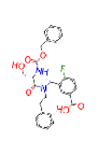 O=C(N[C@@H](CO)C(=O)N(CCc1ccccc1)Cc1cc(C(=O)O)ccc1F)OCc1ccccc1